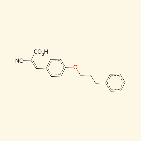 N#CC(=Cc1ccc(OCCCc2ccccc2)cc1)C(=O)O